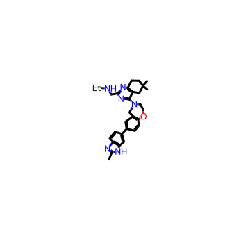 CCNCc1nc2c(c(N3CCOc4ccc(-c5ccc6nc(C)[nH]c6c5)cc4C3)n1)CC(C)(C)CC2